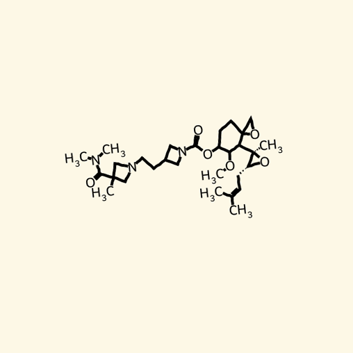 COC1C(OC(=O)N2CC(CCN3CC(C)(C(=O)N(C)C)C3)C2)CCC2(CO2)C1[C@@]1(C)O[C@@H]1CC=C(C)C